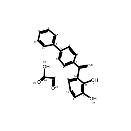 O=C(c1ccc(-c2ccccc2)cc1)c1cccc(O)c1O.O=CC(=O)O